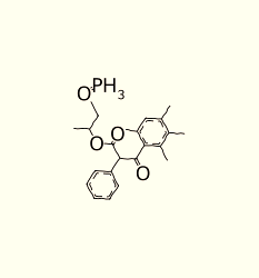 CCC(C)OC(=O)C(C(=O)c1c(C)cc(C)c(C)c1C)c1ccccc1.O=[PH3]